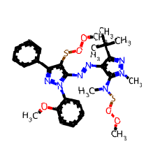 COOSc1c(-c2ccccc2)nn(-c2ccccc2OC)c1N=Nc1c(C(C)(C)C)nn(C)c1N(C)SOOC